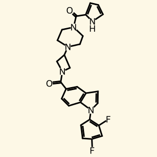 O=C(c1ccc2c(ccn2-c2ccc(F)cc2F)c1)N1CC(N2CCN(C(=O)c3ccc[nH]3)CC2)C1